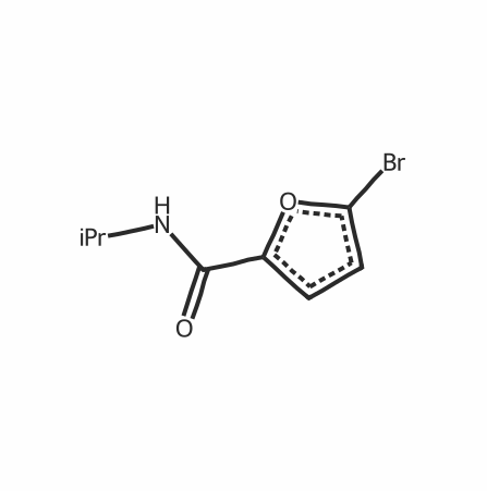 CC(C)NC(=O)c1ccc(Br)o1